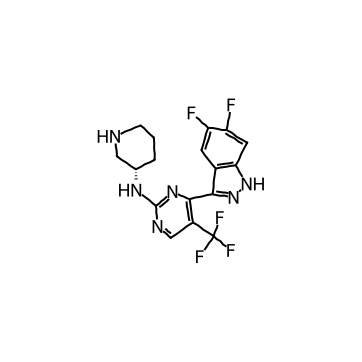 Fc1cc2[nH]nc(-c3nc(N[C@H]4CCCNC4)ncc3C(F)(F)F)c2cc1F